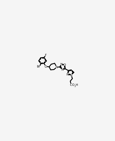 O=C(O)CCn1ccc(-c2nc(N3CCC(Oc4cc(F)ccc4Br)CC3)no2)n1